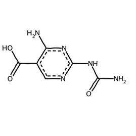 NC(=O)Nc1ncc(C(=O)O)c(N)n1